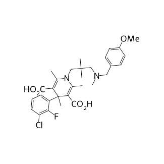 COc1ccc(CN(C)CC(C)(C)CN2C(C)=C(C(=O)O)C(C)(c3cccc(Cl)c3F)C(C(=O)O)=C2C)cc1